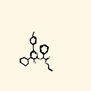 C=CCOC(=O)C(Oc1nc(-c2ccc(C)cc2)cc(C2CCCCC2)c1C#N)c1ccccc1